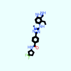 CCc1c(Nc2nc(-c3ccc(C(=O)NC4CCC(F)(F)C4)cc3)nn2C)ccc(N)c1C=N